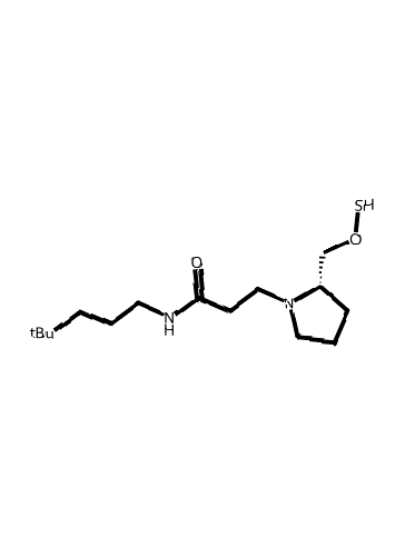 CC(C)(C)CCCNC(=O)CCN1CCC[C@H]1COS